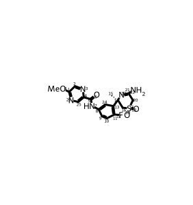 COc1cnc(C(=O)Nc2ccc(F)c([C@]3(C)CS(=O)(=O)CC(N)=N3)c2)cn1